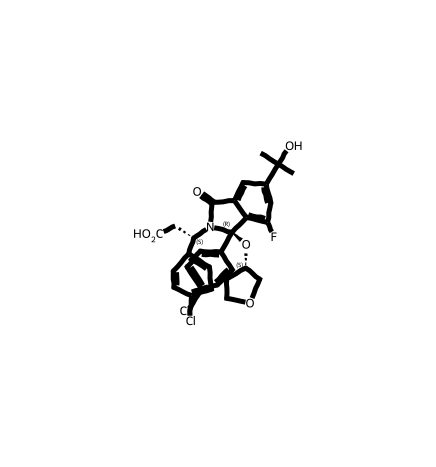 CC(C)(O)c1cc(F)c2c(c1)C(=O)N([C@@H](CC(=O)O)c1ccc(Cl)cc1)[C@@]2(O[C@H]1CCOC1)c1ccc(Cl)cc1